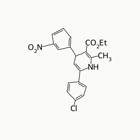 CCOC(=O)C1=C(C)NC(c2ccc(Cl)cc2)=CC1c1cccc([N+](=O)[O-])c1